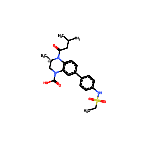 CCS(=O)(=O)Nc1ccc(-c2ccc3c(c2)N(C(=O)O)C[C@H](C)N3C(=O)CC(C)C)cc1